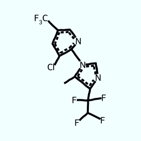 Cc1c(C(F)(F)C(F)F)ncn1-c1ncc(C(F)(F)F)cc1Cl